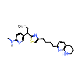 CN(C)c1ccc(C(CC=O)c2nc(CCCCc3ccc4c(n3)NCCC4)cs2)cn1